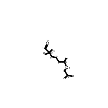 CC(C)COC(C)CCCC(C)(C)C=O